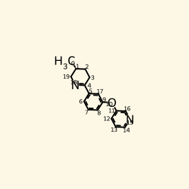 C[C@H]1CCC(c2cccc(Oc3cccnc3)c2)=NC1